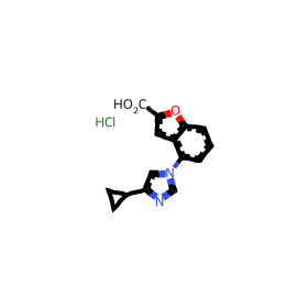 Cl.O=C(O)c1cc2c(-n3cnc(C4CC4)c3)cccc2o1